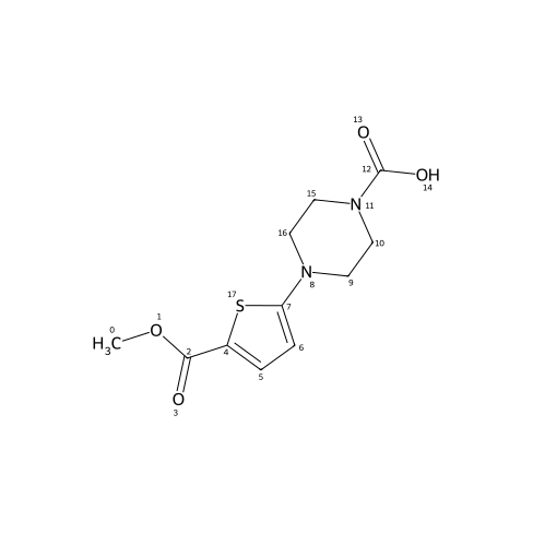 COC(=O)c1ccc(N2CCN(C(=O)O)CC2)s1